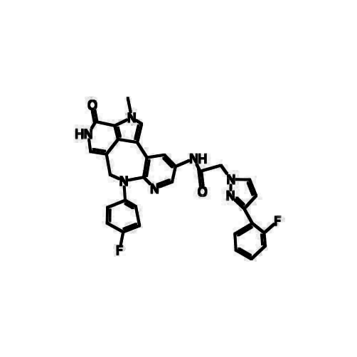 Cn1cc2c3c(c[nH]c(=O)c31)CN(c1ccc(F)cc1)c1ncc(NC(=O)Cn3ccc(-c4ccccc4F)n3)cc1-2